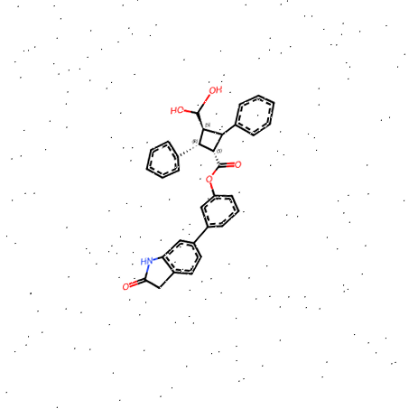 O=C1Cc2ccc(-c3cccc(OC(=O)[C@H]4C(c5ccccc5)[C@H](C(O)O)[C@H]4c4ccccc4)c3)cc2N1